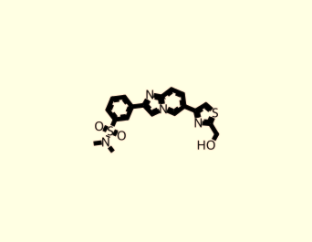 CN(C)S(=O)(=O)c1cccc(-c2cn3cc(-c4csc(CO)n4)ccc3n2)c1